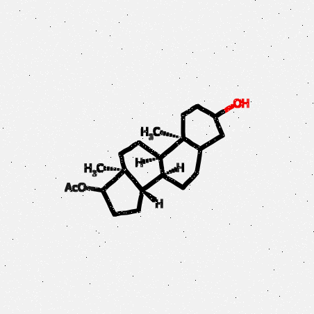 CC(=O)OC1CC[C@H]2[C@@H]3CCC4CC(O)CC[C@]4(C)[C@@H]3CC[C@]12C